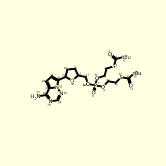 CC(C)(C)C(=O)SCCOP(=O)(OCCSC(=O)C(C)(C)C)OCC1CCC(c2ccc3c(N)ncnn23)O1